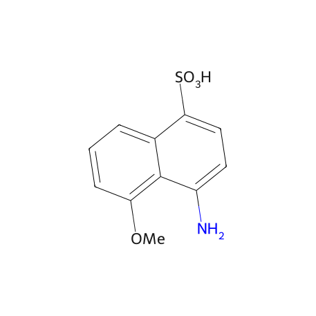 COc1cccc2c(S(=O)(=O)O)ccc(N)c12